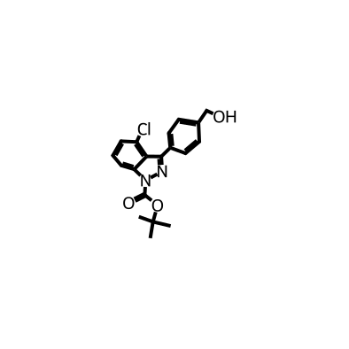 CC(C)(C)OC(=O)n1nc(-c2ccc(CO)cc2)c2c(Cl)cccc21